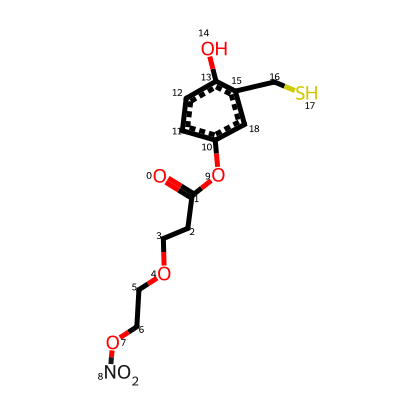 O=C(CCOCCO[N+](=O)[O-])Oc1ccc(O)c(CS)c1